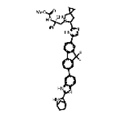 COC(=O)N[C@@](C=O)(CN1CC2(CC2)CC1c1ncc(-c2ccc3c(c2)C(F)(F)c2cc(-c4ccc5nc(C6NC7CCC6C7)[nH]c5c4)ccc2-3)[nH]1)C(C)C